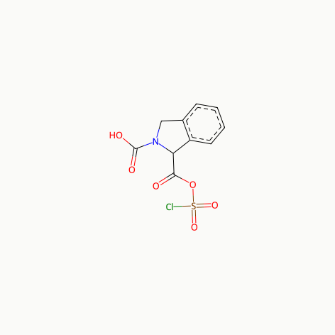 O=C(OS(=O)(=O)Cl)C1c2ccccc2CN1C(=O)O